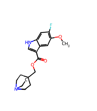 COc1cc2c(C(=O)OCC34CCN(CC3)CC4)c[nH]c2cc1F